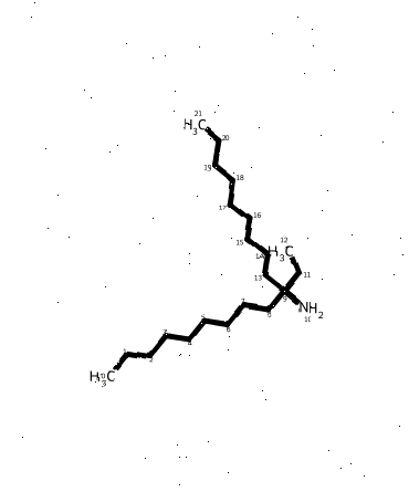 CCCCCCCCCC(N)(CC)CCCCCCCCC